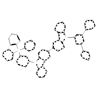 C1=CC(S(c2ccccc2)(c2ccccc2)c2cccc(-n3c4ccccc4c4cc(-c5ccc6c(c5)c5ccccc5n6-c5cc(-c6ccccc6)cc(-c6ccccc6)c5)ccc43)c2)=CCC1